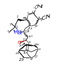 CC1(C)Cc2cc(C#N)c(C#N)cc2C(=CC(=O)C23CC4CC(CC(C4)C2)C3)N1